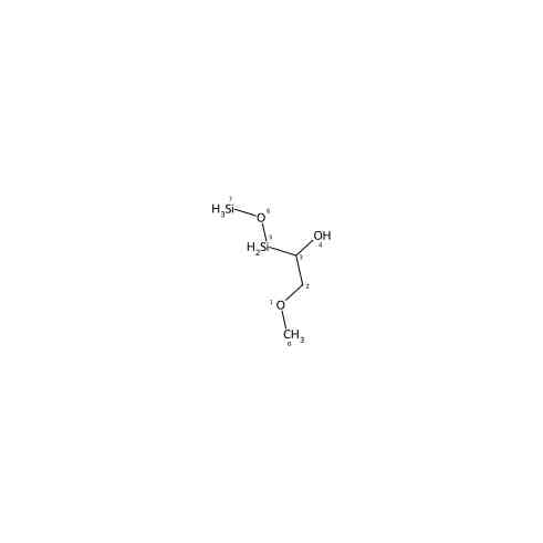 COCC(O)[SiH2]O[SiH3]